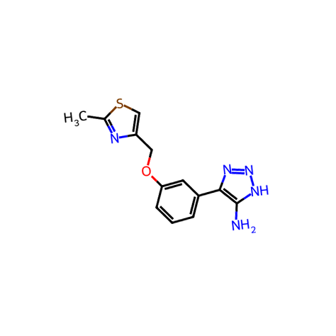 Cc1nc(COc2cccc(-c3nn[nH]c3N)c2)cs1